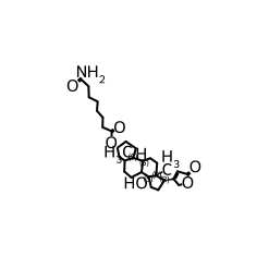 C[C@]12CCC(OC(=O)CCCCCCC(N)=O)CC1CCC1[C@@H]2CC[C@]2(C)[C@@H](C3=CC(=O)OC3)CC[C@]12O